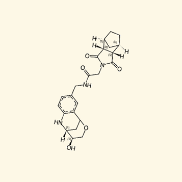 O=C(CN1C(=O)[C@@H]2[C@H]3CC[C@H](C3)[C@@H]2C1=O)NCc1ccc2c(c1)C1C[C@@H](N2)[C@H](O)CO1